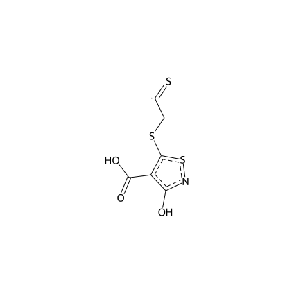 O=C(O)c1c(O)nsc1SC[C]=S